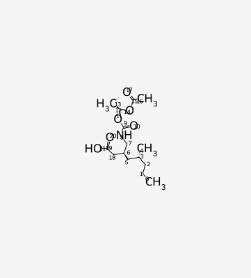 CCC[C@@H](C)C[C@H](CNC(=O)O[C@@H](C)OC(C)=O)CC(=O)O